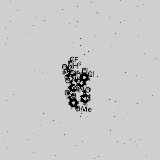 COc1ccc(CS(=O)(=O)[C@@H]2C[C@@H](C(=O)NC(C(=O)C(F)(F)C(=O)NCC(F)(F)F)C(C)C)N(C(=O)C(Cc3ccc(Cl)c(Cl)c3)NC(=O)c3ccccn3)C2)cc1